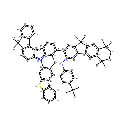 CC(C)(C)c1ccc(N2B3c4cc5c(cc4-n4c6ccc7c(c6c6ccc(c3c64)-c3cc4c(cc32)-c2cc3c(cc2C4(C)C)C(C)(C)CCC3(C)C)-c2ccccc2C7(C)C)sc2ccccc25)cc1